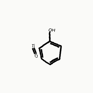 Oc1ccccc1.[O]=[Ti]